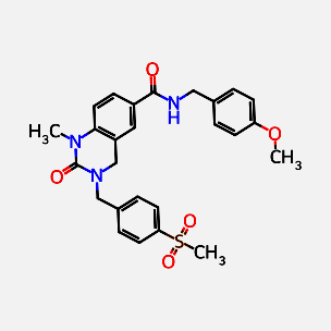 COc1ccc(CNC(=O)c2ccc3c(c2)CN(Cc2ccc(S(C)(=O)=O)cc2)C(=O)N3C)cc1